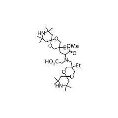 CCC1(CC(C(=O)OC)N(CC(=O)O)CC2(CC)COC3(CC(C)(C)NC(C)(C)C3)OC2)COC2(CC(C)(C)NC(C)(C)C2)OC1